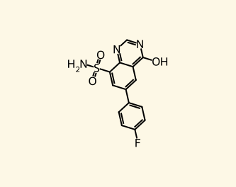 NS(=O)(=O)c1cc(-c2ccc(F)cc2)cc2c(O)ncnc12